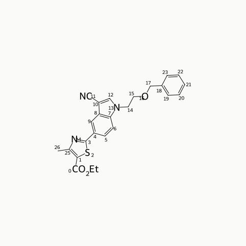 CCOC(=O)c1sc(-c2ccc3c(c2)c(C#N)cn3CCOCc2ccccc2)nc1C